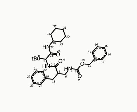 CC(C)(C)C(NC(=O)C(CNC(=O)OCc1ccccc1)Cc1ccccc1)C(=O)NC1CCCCC1